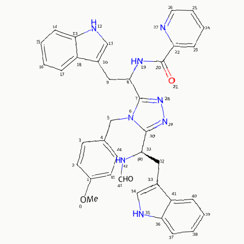 COc1ccc(Cn2c(C(Cc3c[nH]c4ccccc34)NC(=O)c3ccccn3)nnc2[C@@H](Cc2c[nH]c3ccccc23)NC=O)cc1